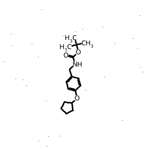 CC(C)(C)OC(=O)NCc1ccc(OC2CCCC2)cc1